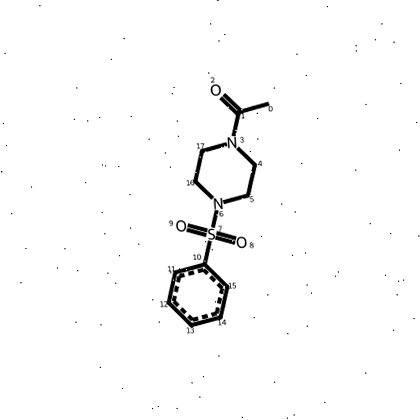 CC(=O)N1CCN(S(=O)(=O)c2[c]cccc2)CC1